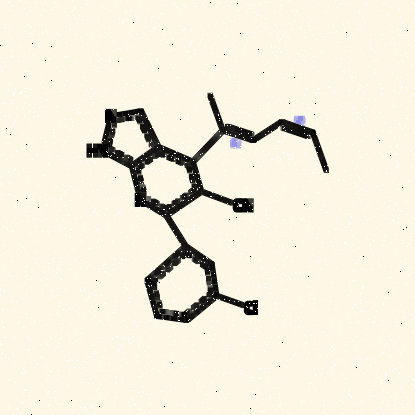 C/C=C\C=C(/C)c1c(C#N)c(-c2cccc(Cl)c2)nc2[nH]ncc12